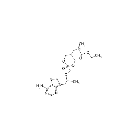 CCOC(=O)[C@H](C)CC1COP(=O)(COC(C)Cn2cnc3c(N)ncnc32)OC1